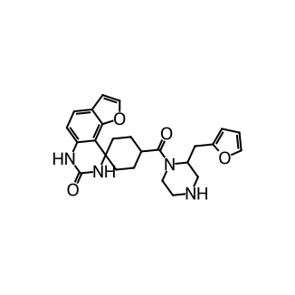 O=C1Nc2ccc3ccoc3c2C2(CCC(C(=O)N3CCNCC3Cc3ccco3)CC2)N1